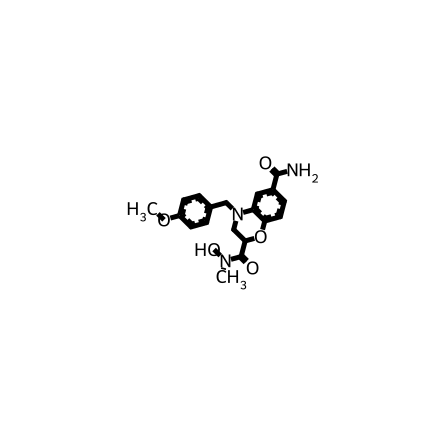 COc1ccc(CN2CC(C(=O)N(C)O)Oc3ccc(C(N)=O)cc32)cc1